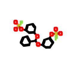 O=S(=O)(F)Oc1cccc(OC(Oc2cccc(OS(=O)(=O)F)c2)c2ccccc2)c1